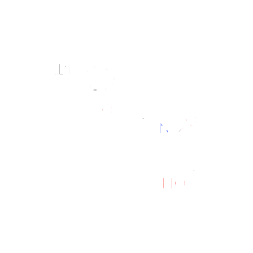 CC1(O)CC(C(=O)N2CC3(CC(Oc4cccc(C(C)(C)C)c4)C3)C2)C1